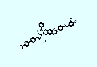 CC[C@@H](c1ccccc1)N1Cc2cc3c(cc2C[C@H]1C(=O)NC(Cc1ccc(-c2ccc(N(C)C)nc2)cc1)C(=O)O)OC[C@H](c1ccc(OCc2ccc(Cl)c(Cl)c2)cc1)O3